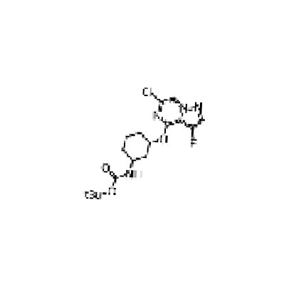 CC(C)(C)OC(=O)N[C@H]1CCC[C@@H](Oc2nc(Cl)cn3ncc(F)c23)C1